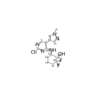 Cn1cc(-c2cnc(Cl)nc2N[C@@H]2CCCC(F)(F)[C@H]2O)cn1